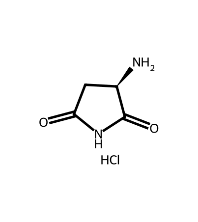 Cl.N[C@@H]1CC(=O)NC1=O